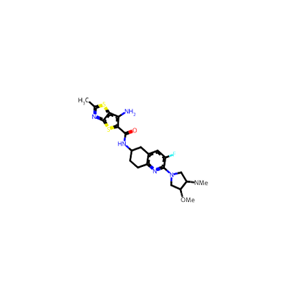 CNC1CN(c2nc3c(cc2F)CC(NC(=O)c2sc4nc(C)sc4c2N)CC3)CC1OC